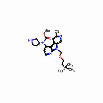 CC(C)(C)OC(=O)N(c1ccnc2c1c1cc(C#N)ncc1n2COCC[Si](C)(C)C)[C@H]1CCNC1